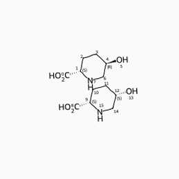 O=C(O)[C@@H]1CC[C@@H](O)CN1.O=C(O)[C@@H]1CC[C@H](O)CN1